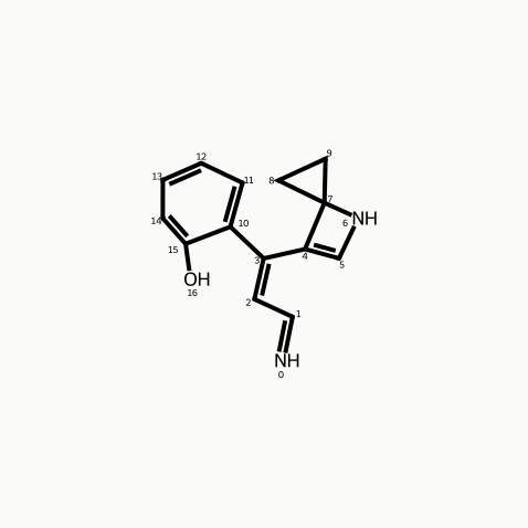 N=C/C=C(\C1=CNC12CC2)c1ccccc1O